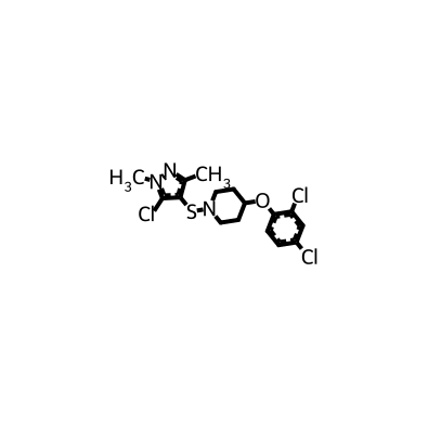 Cc1nn(C)c(Cl)c1SN1CCC(Oc2ccc(Cl)cc2Cl)CC1